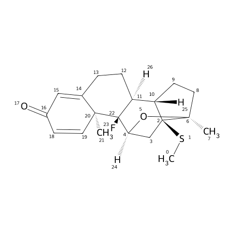 CS[C@]12C[C@@H]3O[C@@]1(C)CC[C@H]2[C@@H]1CCC2=CC(=O)C=C[C@]2(C)[C@@]31F